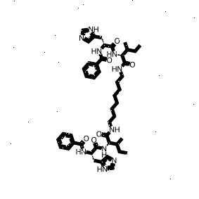 CCC(C)[C@H](NC(=O)[C@H](Cc1cnc[nH]1)NC(=O)c1ccccc1)C(=O)NCCCCCCCCNC(=O)[C@H](NC(=O)[C@@H](Cc1cnc[nH]1)NC(=O)c1ccccc1)C(C)CC